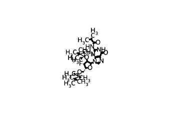 CC(C)C(=O)Nc1nc2c(ncn2C2O[C@H](CO[Si](C)(C)C(C)(C)C)[C@H](I)C2O[Si](C)(C)C(C)(C)C)c(=O)[nH]1